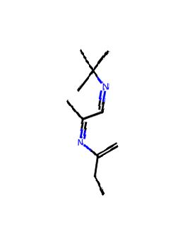 C=C(CC)/N=C(C)\C=N/C(C)(C)C